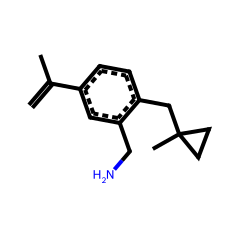 C=C(C)c1ccc(CC2(C)CC2)c(CN)c1